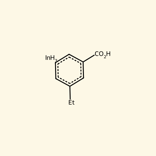 CCc1cccc(C(=O)O)c1.[InH3]